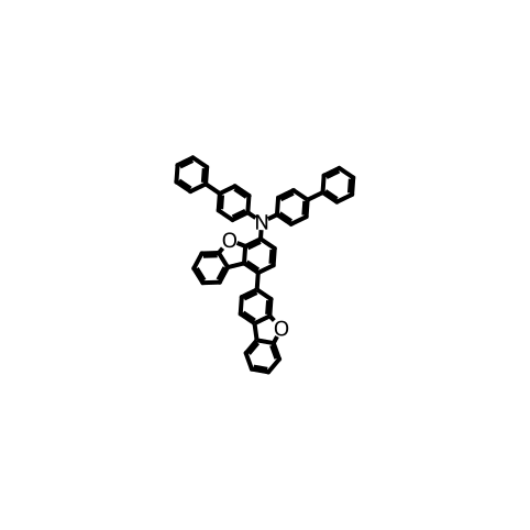 c1ccc(-c2ccc(N(c3ccc(-c4ccccc4)cc3)c3ccc(-c4ccc5c(c4)oc4ccccc45)c4c3oc3ccccc34)cc2)cc1